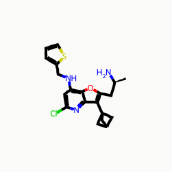 C[C@H](N)Cc1oc2c(NCc3cccs3)cc(Cl)nc2c1C12CC(C1)C2